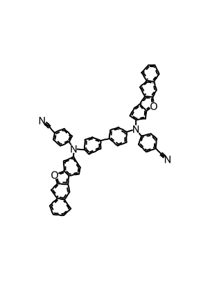 N#Cc1ccc(N(c2ccc(-c3ccc(N(c4ccc(C#N)cc4)c4ccc5c(c4)oc4cc6ccccc6cc45)cc3)cc2)c2ccc3c(c2)oc2cc4ccccc4cc23)cc1